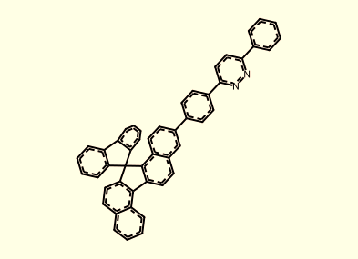 c1ccc(-c2ccc(-c3ccc(-c4ccc5c6c(ccc5c4)-c4c(ccc5ccccc45)C64c5ccccc5-c5ccccc54)cc3)nn2)cc1